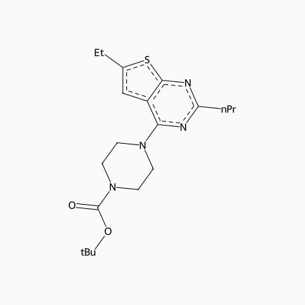 CCCc1nc(N2CCN(C(=O)OC(C)(C)C)CC2)c2cc(CC)sc2n1